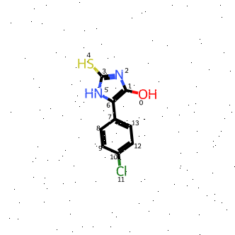 Oc1nc(S)[nH]c1-c1ccc(Cl)cc1